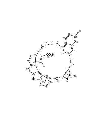 Cc1nn2c3c1-c1c(Cl)ccc4c1c(C)c(C(=O)O)n4CCCOc1cc(cc4cc(F)ccc14)CCc1cc(nn1C)CC[C@]3(C)OCC2